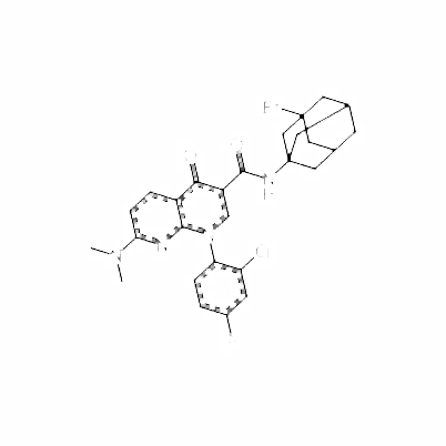 CCC12CC3CC(C1)CC(NC(=O)c1cn(-c4ccc(F)cc4Cl)c4nc(N(C)C)ccc4c1=O)(C3)C2